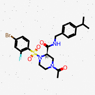 CC(=O)N1CCN(S(=O)(=O)c2ccc(Br)cc2F)[C@@H](C(=O)NCc2ccc(C(C)C)cc2)C1